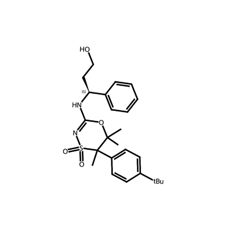 CC(C)(C)c1ccc(C2(C)C(C)(C)OC(N[C@@H](CCO)c3ccccc3)=NS2(=O)=O)cc1